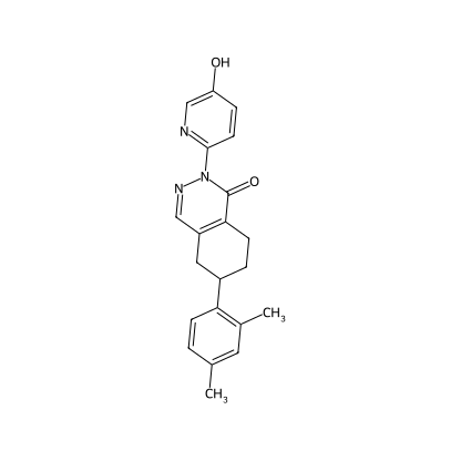 Cc1ccc(C2CCc3c(cnn(-c4ccc(O)cn4)c3=O)C2)c(C)c1